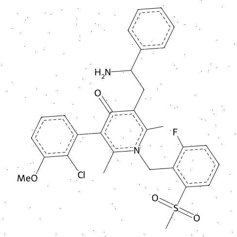 COc1cccc(-c2c(C)n(Cc3c(F)cccc3S(C)(=O)=O)c(C)c(CC(N)c3ccccc3)c2=O)c1Cl